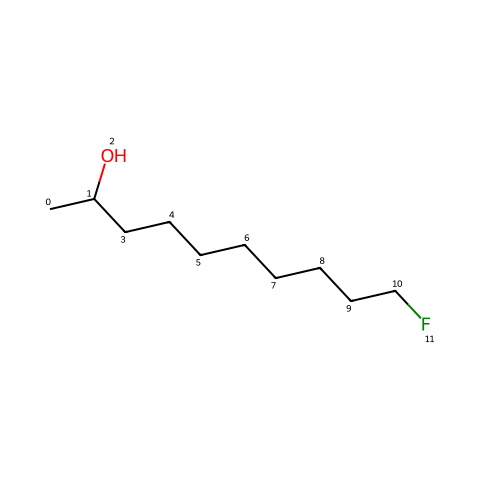 CC(O)CCCCCCCCF